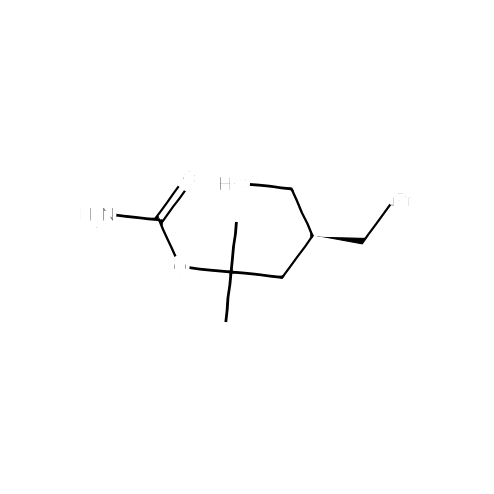 CC(C)C[C@H](CO)CC(C)(C)OC(N)=O